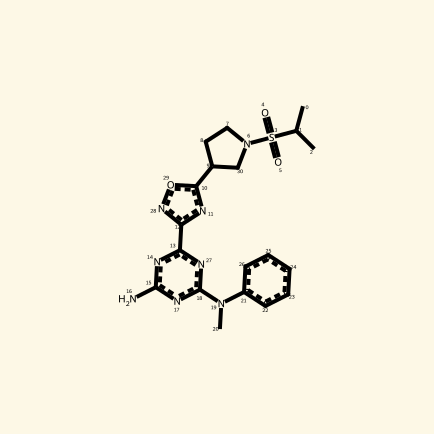 CC(C)S(=O)(=O)N1CCC(c2nc(-c3nc(N)nc(N(C)c4ccccc4)n3)no2)C1